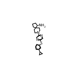 N[C@@H]1CCCC12CCN(c1cnc(Sc3cccc(C4CC4)c3)cn1)CC2